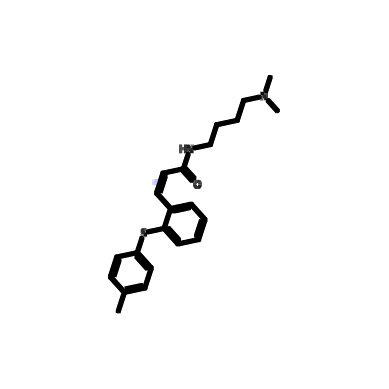 Cc1ccc(Sc2ccccc2/C=C\C(=O)NCCCCN(C)C)cc1